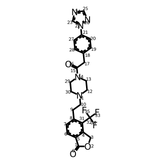 O=C1OCc2c1ccc(CCN1CCN(C(=O)Cc3ccc(-n4cncn4)cc3)CC1)c2C(F)(F)F